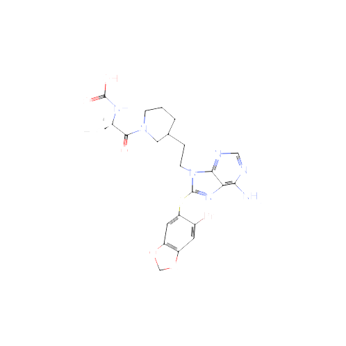 C[C@@H](NC(=O)O)C(=O)N1CCCC(CCn2c(Sc3cc4c(cc3Br)OCO4)nc3c(N)ncnc32)C1